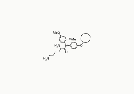 COc1ccc(N(C(=O)C(N)CCCCN)c2ccc(OC3CCCCCCC3)cc2)c(OC)c1